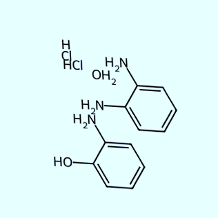 Cl.Cl.Nc1ccccc1N.Nc1ccccc1O.O